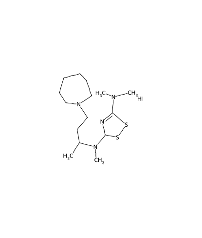 CC(CCN1CCCCCC1)N(C)C1N=C(N(C)C)SS1.I